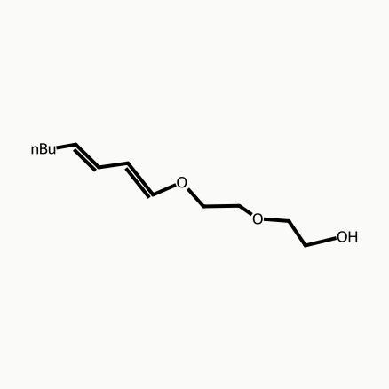 CCCCC=CC=COCCOCCO